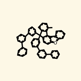 Cc1cccc2c1-c1c(ccc3oc4ccccc4c13)C2(c1cccc(-c2cccc(-c3ccccc3)c2)c1)c1cccc(-c2cccc(-c3ccccc3)c2)c1